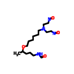 CC(CCCNC=O)OCCCCCCN(CCN=O)CCN=O